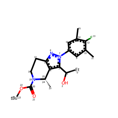 CCC(O)c1c2c(nn1-c1cc(C)c(F)c(C)c1)CCN(C(=O)OC(C)(C)C)[C@H]2C